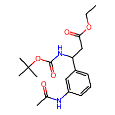 CCOC(=O)CC(NC(=O)OC(C)(C)C)c1cccc(NC(C)=O)c1